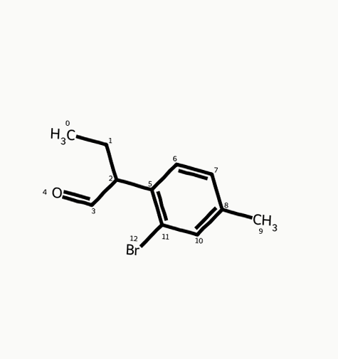 CCC(C=O)c1ccc(C)cc1Br